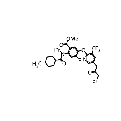 COC(=O)c1cc(Oc2ncc(CC(=O)CBr)cc2C(F)(F)F)c(F)cc1N(C(=O)[C@H]1CC[C@H](C)CC1)C(C)C